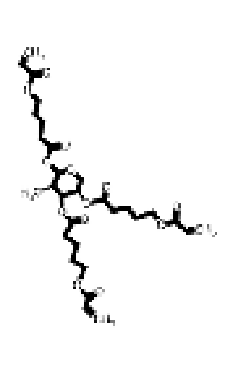 C=CC(=O)OCCCCC(=O)OC1OC[C@@H](OC(=O)CCCCOC(=O)C=C)C(OC(=O)CCCCOC(=O)C=C)[C@H]1C